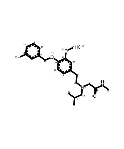 CNC(=O)CN(CCc1ccc(OCc2cccc(F)c2)c(OC)c1)CC(C)C.Cl